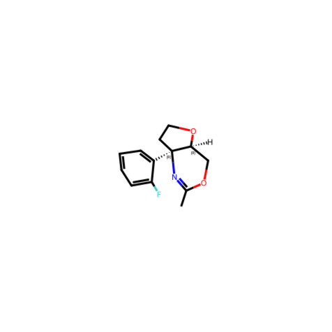 CC1=N[C@@]2(c3ccccc3F)CCO[C@H]2CO1